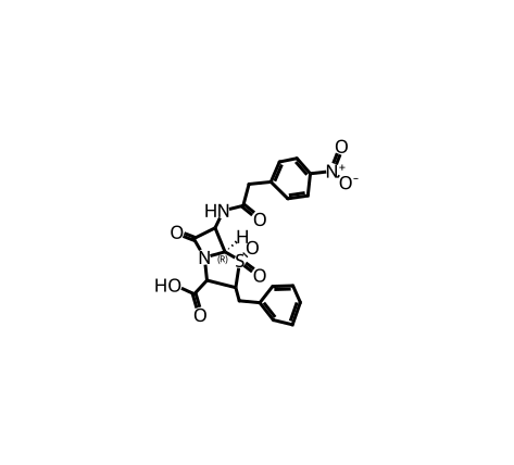 O=C(Cc1ccc([N+](=O)[O-])cc1)NC1C(=O)N2C(C(=O)O)C(Cc3ccccc3)S(=O)(=O)[C@H]12